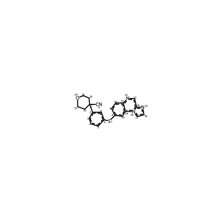 N#CC1(c2cccc(Sc3ccc4ncc5nccn5c4c3)c2)CCOCC1